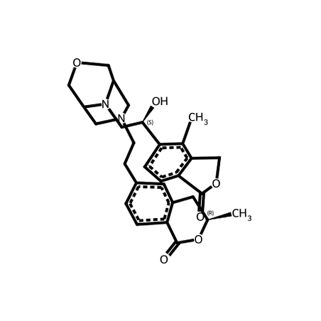 Cc1c([C@H](O)CN2C3COCC2CN(CCc2ccc4c(c2)C[C@@H](C)OC4=O)C3)ccc2c1COC2=O